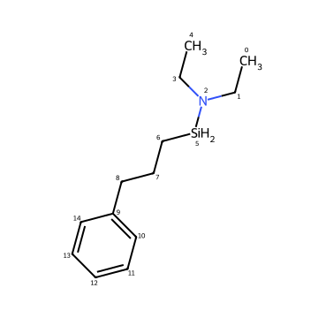 CCN(CC)[SiH2]CCCc1ccccc1